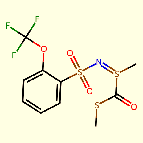 CSC(=O)S(C)=NS(=O)(=O)c1ccccc1OC(F)(F)F